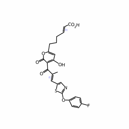 C/C(=C\c1cnc(Oc2ccc(F)cc2)s1)C(=O)c1c(O)cc(CCC/C=C/C(=O)O)oc1=O